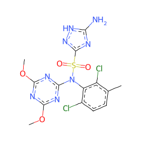 COc1nc(OC)nc(N(c2c(Cl)ccc(C)c2Cl)S(=O)(=O)c2n[nH]c(N)n2)n1